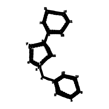 c1ccc(Cn2cnc(-c3ccccc3)c2)cc1